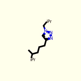 CC(C)Cn1cc(CCCC(C)C(C)C)nn1